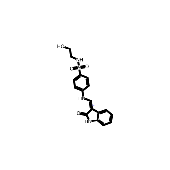 O=C1Nc2ccccc2/C1=C/Nc1ccc(S(=O)(=O)NCCO)cc1